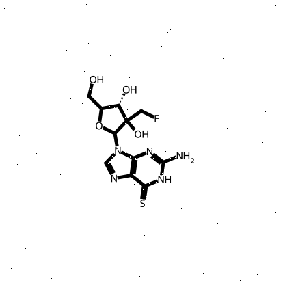 Nc1nc2c(ncn2C2OC(CO)[C@H](O)C2(O)CF)c(=S)[nH]1